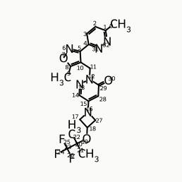 Cc1ccc(-c2noc(C)c2Cn2ncc(N3CC(OC(C)(C)C(F)(F)F)C3)cc2=O)nn1